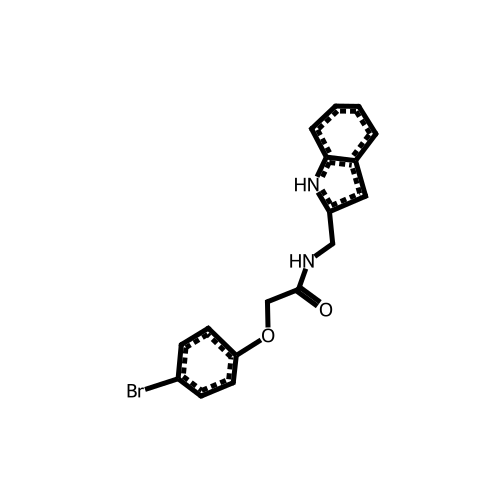 O=C(COc1ccc(Br)cc1)NCc1cc2ccccc2[nH]1